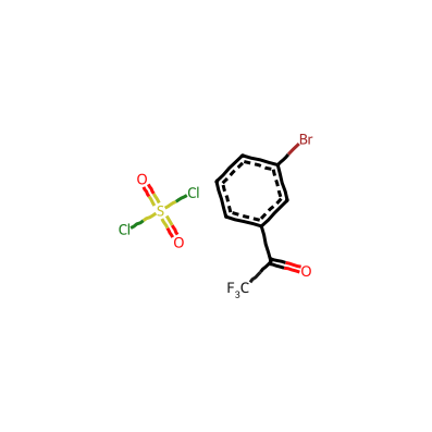 O=C(c1cccc(Br)c1)C(F)(F)F.O=S(=O)(Cl)Cl